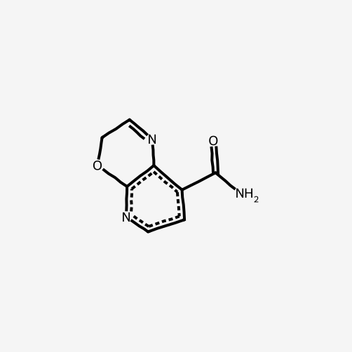 NC(=O)c1ccnc2c1N=CCO2